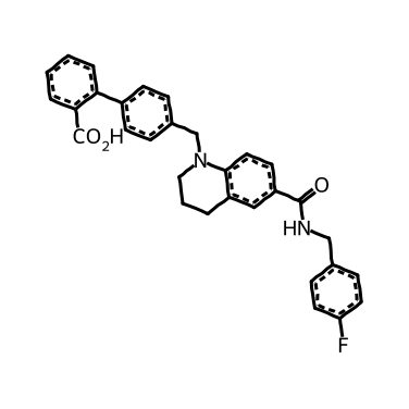 O=C(NCc1ccc(F)cc1)c1ccc2c(c1)CCCN2Cc1ccc(-c2ccccc2C(=O)O)cc1